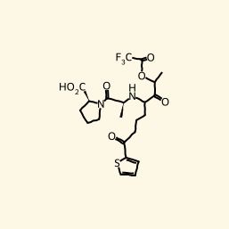 CC(OC(=O)C(F)(F)F)C(=O)C(CCCC(=O)c1cccs1)N[C@@H](C)C(=O)N1CCC[C@H]1C(=O)O